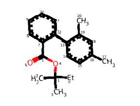 CCC(C)(C)OC(=O)c1ccccc1-c1ccc(C)cc1C